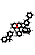 CC1(C)c2ccccc2-c2ccc(N(c3ccccc3)c3ccccc3-c3cccc4c3C3(c5ccc(-c6ccccc6)cc5-4)C4CC5CC(C4)CC3C5)cc21